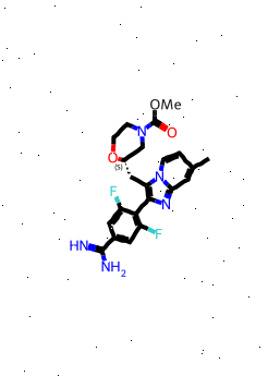 COC(=O)N1CCO[C@@H](Cc2c(-c3c(F)cc(C(=N)N)cc3F)nc3cc(C)ccn23)C1